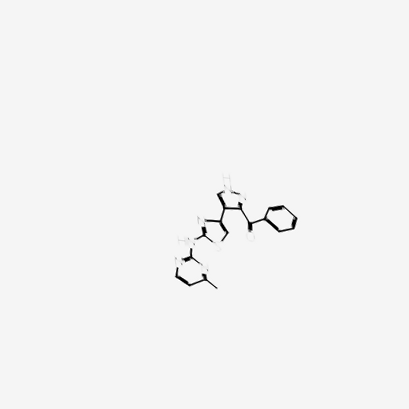 Cc1ccnc(Nc2nc(-c3c[nH]nc3C(=O)c3ccccc3)cs2)n1